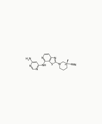 C[C@@]1(C#N)CCCN(c2nc3ccnc(Nc4cc(N)ncn4)c3s2)C1